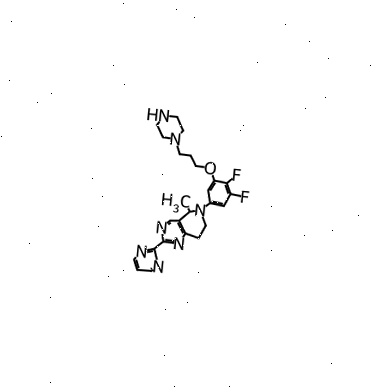 CC1c2cnc(-c3ncccn3)nc2CCN1c1cc(F)c(F)c(OCCCN2CCNCC2)c1